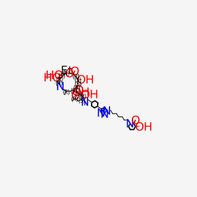 CC[C@H]1OC(=O)[C@H](C)[C@@H](O)[C@H](C)[C@@H](O[C@@H]2O[C@H](C)C[C@H](N(C)Cc3ccc(-c4cn(CCCCCCCn5cccc(O)c5=O)nn4)cc3)[C@H]2O)[C@](C)(O)C[C@@H](C)CN(C)[C@H](C)[C@@H](O)[C@]1(C)O